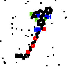 CCOC(=O)COCCOCCOCCCNC(=O)c1cc(F)c([C@@H]2c3[nH]c4ccccc4c3C[C@@H](C)N2CC(C)(C)F)c(F)c1